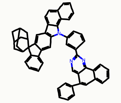 c1ccc(-c2cc3ccccc3c3nc(-c4cccc(-n5c6cc7c(cc6c6ccc8ccccc8c65)C5(c6ccccc6-7)C6CC7CC(C6)CC5C7)c4)ncc23)cc1